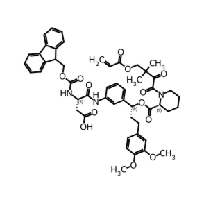 C=CC(=O)OCC(C)(C)C(=O)C(=O)N1CCCC[C@H]1C(=O)O[C@H](CCc1ccc(OC)c(OC)c1)c1cccc(NC(=O)[C@H](CC(=O)O)NC(=O)OCC2c3ccccc3-c3ccccc32)c1